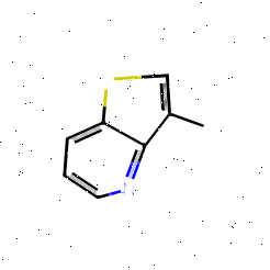 Cc1csc2cccnc12